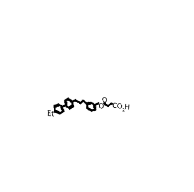 CCc1ccc(-c2ccc(CCCc3cccc(COC(=O)CCC(=O)O)c3)cc2)cc1